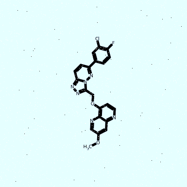 COc1cnc2c(OCc3nnc4ccc(-c5ccc(F)c(Cl)c5)nn34)ccnc2c1